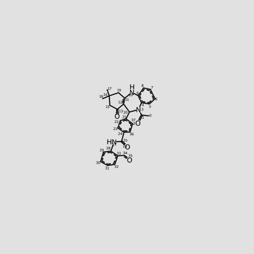 CC(=O)N1c2ccccc2NC2=C(C(=O)CC(C)(C)C2)C1c1ccc(C(=O)Nc2ccccc2C=O)cc1